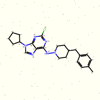 Cc1ccc(CC2CCN(Nc3nc(Cl)nc4c3ncn4C3CCCC3)CC2)cc1